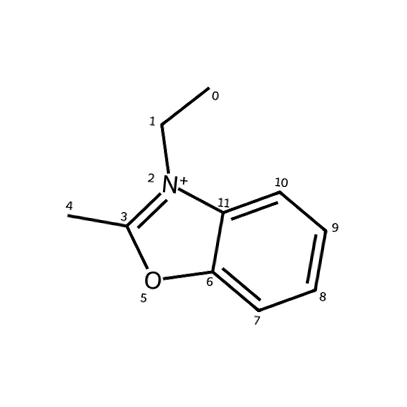 CC[n+]1c(C)oc2ccccc21